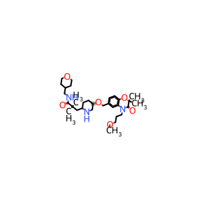 COCCCN1C(=O)C(C)(C)Oc2ccc(CO[C@@H]3CCC(CC(C)(C)C(=O)NCC4CCOCC4)NC3)cc21